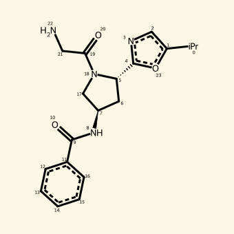 CC(C)c1cnc([C@@H]2C[C@@H](NC(=O)c3ccccc3)CN2C(=O)CN)o1